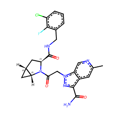 Cc1cc2c(C(N)=O)nn(CC(=O)N3[C@@H]4C[C@@H]4C[C@H]3C(=O)NCc3cccc(Cl)c3F)c2cn1